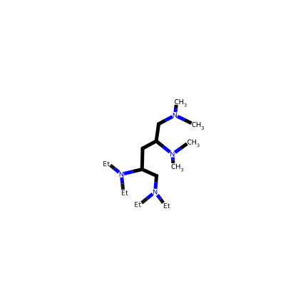 CCN(CC)CC(CC(CN(C)C)N(C)C)N(CC)CC